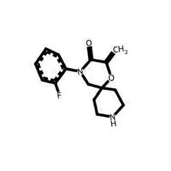 C=C1OC2(CCNCC2)CN(c2ccccc2F)C1=O